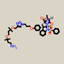 CN1C(=O)[C@@]23C[C@]4(c5ccc(OCCCn6cc(COC(C)(C)CCOC(C)(C)CCN)nn6)cc5)c5ccccc5N(S(=O)(=O)c5ccccc5)[C@@H]4N2C(=O)[C@@H]1SS3